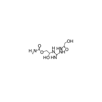 N=C(NNC(=O)CO)NC(O)COC(N)=O